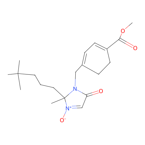 COC(=O)C1=CC=C(CN2C(=O)C=[N+]([O-])C2(C)CCCC(C)(C)C)CC1